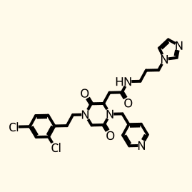 O=C(CC1C(=O)N(CCc2ccc(Cl)cc2Cl)CC(=O)N1Cc1ccncc1)NCCCn1ccnc1